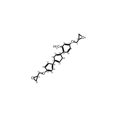 Cc1cc(OCC2CO2)ccc1C1=CCC(c2ccc(OCC3CO3)cc2)=CC1